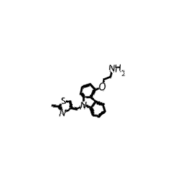 Cc1nc(Cn2c3ccccc3c3c(OCCN)cccc32)cs1